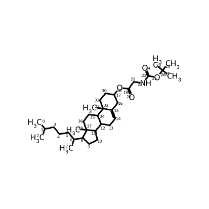 CC(C)CCCC(C)C1CCC2C3CC=C4CC(OC(=O)CNC(=O)OC(C)(C)C)CCC4(C)C3CCC12C